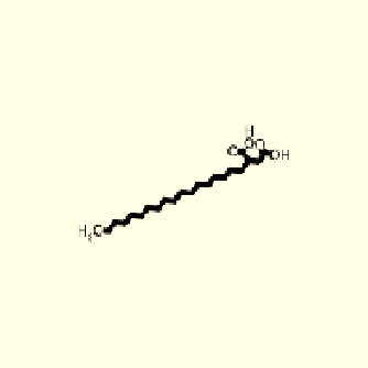 CCCCCCCCCCCCCCCC/C=C/C(=C/C(=O)O)C(=O)O